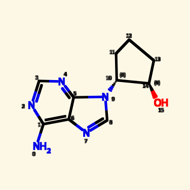 Nc1ncnc2c1ncn2[C@@H]1CCC[C@H]1O